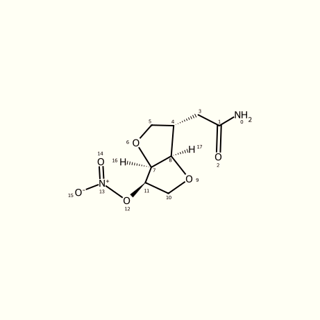 NC(=O)C[C@H]1CO[C@H]2[C@@H]1OC[C@H]2O[N+](=O)[O-]